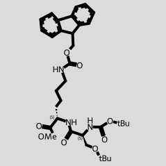 COC(=O)[C@H](CCCCNC(=O)OCC1c2ccccc2-c2ccccc21)NC(=O)[C@H](COC(C)(C)C)NC(=O)OC(C)(C)C